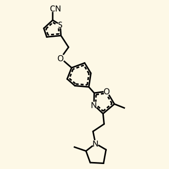 Cc1oc(-c2ccc(OCc3ccc(C#N)s3)cc2)nc1CCN1CCCC1C